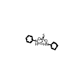 S=P(S)(ONc1ccccc1)ONc1ccccc1